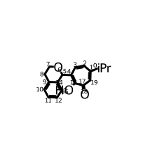 CC(C)c1ccc(C2OCCc3ccccc32)c(O)c(=O)c1